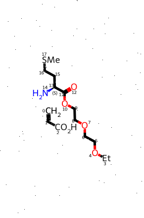 C=CC(=O)O.CCOCCOCCOC(=O)[C@@H](N)CCSC